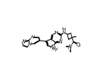 CN(C)C(=O)C1(C)CC(Nc2ncc3c(-c4cnc5nccn5c4)c[nH]c3n2)C1